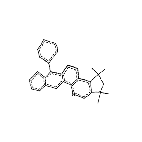 CC1(C)CC(C)(C)c2c1cnc1c2ccc2c(-c3ccccc3)c3ccccc3cc21